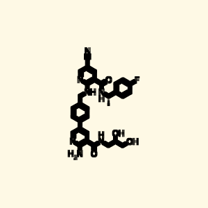 C[C@H](NC(=O)c1cc(C#N)cnc1NCc1ccc(-c2cnc(N)c(C(=O)NCC(O)CO)c2)cc1)c1ccc(F)cc1